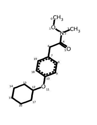 CON(C)C(=O)Cc1ccc(OC2CCCCC2)cc1